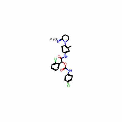 CON=C1CCCCN1c1ccc(NC(=O)C(OC(=O)Nc2ccc(Cl)cc2)c2ccccc2Cl)cc1C